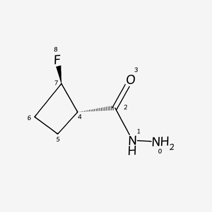 NNC(=O)[C@@H]1CC[C@H]1F